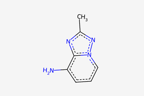 Cc1nc2c(N)cccn2n1